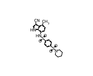 Cc1ccc(NS(=O)(=O)c2ccc(S(=O)(=O)N3CCCCC3)cc2)c2[nH]cc(C#N)c12